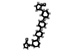 O=C1CCCN1c1cccc(N2C=CC(c3cc[n+](-c4cccc(N5CCCC5=O)c4)cc3)=CC2)c1